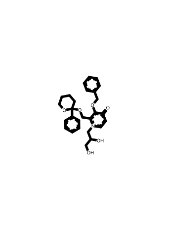 O=c1ccn(CC(O)CO)c(COC2(c3ccccc3)CCCCO2)c1OCc1ccccc1